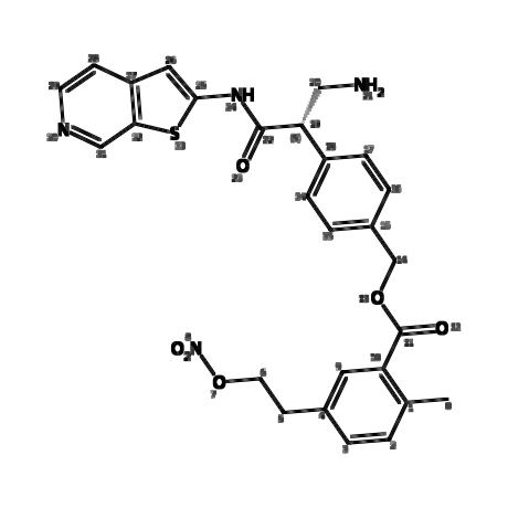 Cc1ccc(CCO[N+](=O)[O-])cc1C(=O)OCc1ccc([C@@H](CN)C(=O)Nc2cc3ccncc3s2)cc1